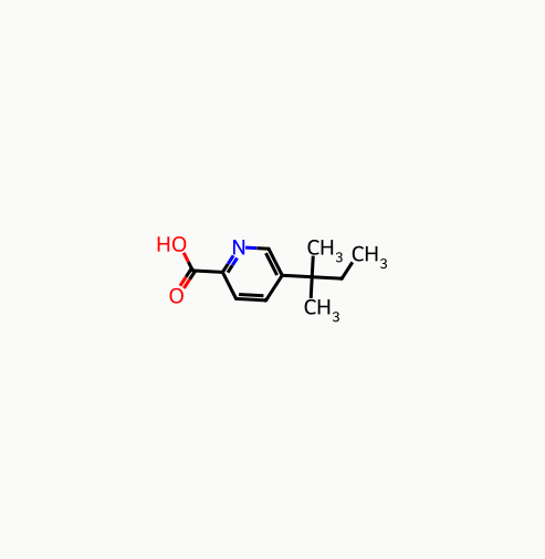 CCC(C)(C)c1ccc(C(=O)O)nc1